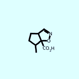 CC1CCC2C=NOC12C(=O)O